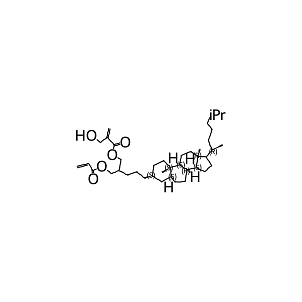 C=CC(=O)OCC(CCC[C@H]1CC[C@@]2(C)[C@@H](CC[C@@H]3[C@@H]2CC[C@]2(C)C([C@H](C)CCCC(C)C)CC[C@@H]32)C1)COC(=O)C(=C)CO